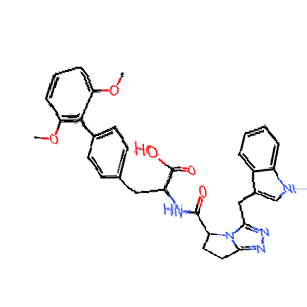 COc1cccc(OC)c1-c1ccc(CC(NC(=O)C2CCc3nnc(Cc4c[nH]c5ccccc45)n32)C(=O)O)cc1